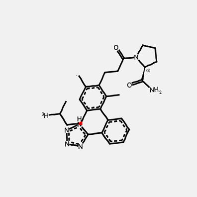 [3H]C(C)CCc1cc([CH2])c(CCC(=O)N2CCC[C@H]2C(N)=O)c(C)c1-c1ccccc1-c1nnn[nH]1